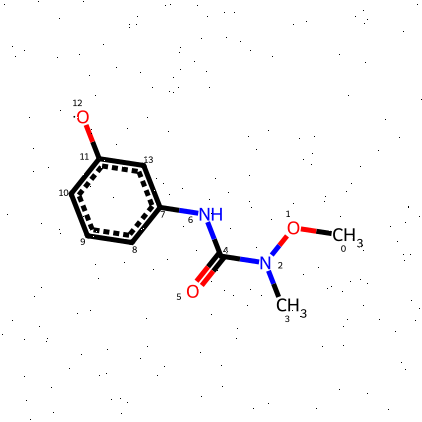 CON(C)C(=O)Nc1cccc([O])c1